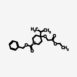 CCOC(=O)COC1(C(C)C)CCN(C(=O)OCc2ccccc2)CC1